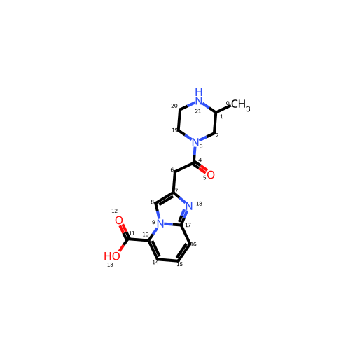 CC1CN(C(=O)Cc2cn3c(C(=O)O)cccc3n2)CCN1